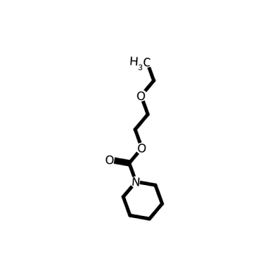 CCOCCOC(=O)N1CCCCC1